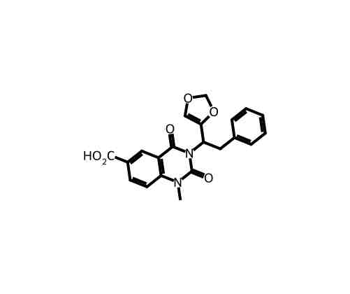 Cn1c(=O)n(C(Cc2ccccc2)C2=COCO2)c(=O)c2cc(C(=O)O)ccc21